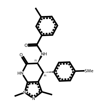 CSc1ccc([C@@H]2c3c(C)nn(C)c3NC(=O)[C@H]2NC(=O)c2cccc(C)c2)cc1